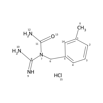 Cc1cccc(CN(C(=N)N)C(N)=O)c1.Cl